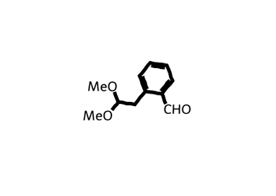 COC(Cc1ccccc1C=O)OC